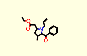 C=CCN1C(CC(=O)OCC)CC(C)C1C(=O)c1ccccc1